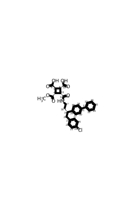 COC(=O)[C@@H]1[C@@H](C(=O)O)[C@H](C(=O)O)[C@@H]1C(=O)NCC[C@@H](Cc1ccc(Cl)cc1)c1ccc(-c2ccccc2)cc1